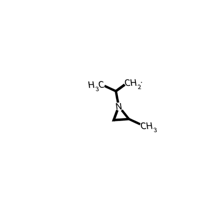 [CH2]C(C)N1CC1C